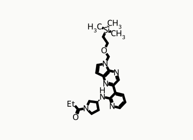 CCC(=O)N1CC[C@@H](Nc2ncccc2-c2cnc3c(ccn3COCC[Si](C)(C)C)n2)C1